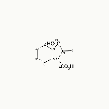 C1CCCCC1.C=C(CC(=O)O)C(=O)O